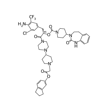 Nc1c(Cl)cc(C[C@@H](OC(=O)N2CCC(N3CCc4ccccc4NC3=O)CC2)C(=O)N2CCN(C3CCN(CC(=O)Oc4ccc5c(c4)CCC5)CC3)CC2)cc1C(F)(F)F